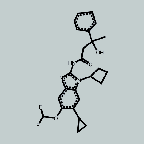 CC(O)(CC(=O)Nc1nc2cc(OC(F)F)c(C3CC3)cc2n1C1CCC1)c1ccccc1